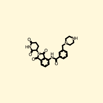 O=C1CCC(N2C(=O)c3cccc(NC(=O)c4cccc(CN5CCNCC5)c4)c3C2=O)C(=O)N1